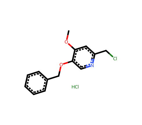 COc1cc(CCl)ncc1OCc1ccccc1.Cl